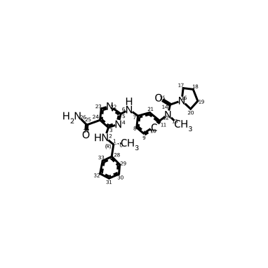 C[C@@H](Nc1nc(Nc2cccc(N(C)C(=O)N3CCCC3)c2)ncc1C(N)=O)c1ccccc1